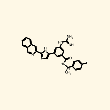 C[C@@H](NC(=O)c1cc(NC(=N)N)cc(-c2cnc(-c3cc4ccccc4cn3)[nH]2)c1)c1ccc(F)cc1